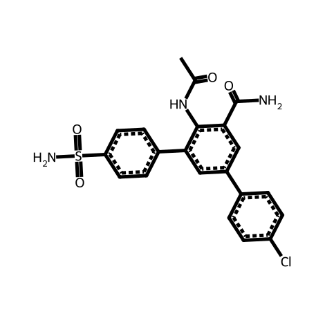 CC(=O)Nc1c(C(N)=O)cc(-c2ccc(Cl)cc2)cc1-c1ccc(S(N)(=O)=O)cc1